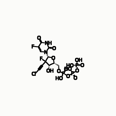 O=c1[nH]c(=O)n([C@@H]2O[C@H](COP(=O)(O)OP(=O)(O)OP(=O)(O)O)[C@H](O)C2(F)C#CCl)cc1F